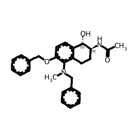 CC(=O)N[C@H]1CCc2c(ccc(OCc3ccccc3)c2N(C)Cc2ccccc2)[C@@H]1O